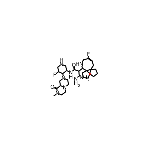 CN1CCN2CCN(C3C(F)CNCC3NC(=O)C(C(N)N)C3NC/C(F)=C\CC4(CCCC4)C34CCCC4)CC2C1=O